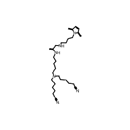 C=C(CNCCCCn1c(=C)ccc1=C)NCCCCCN(CCCCCC#N)CCCCCC#N